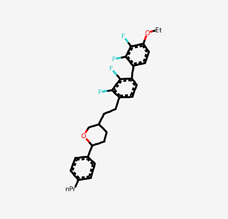 CCCc1ccc(C2CCC(CCc3ccc(-c4ccc(OCC)c(F)c4F)c(F)c3F)CO2)cc1